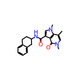 Cc1cn(C)c(=O)c2c(C(=O)NC3CCc4ccccc4C3)cn(C)c12